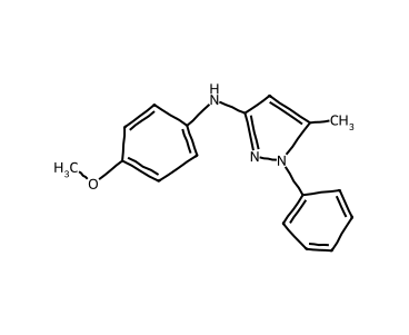 COc1ccc(Nc2cc(C)n(-c3ccccc3)n2)cc1